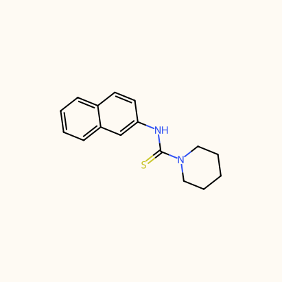 S=C(Nc1ccc2ccccc2c1)N1CCCCC1